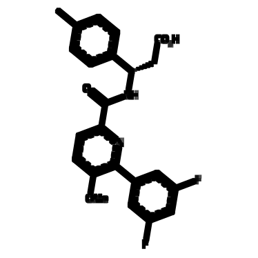 COc1ccc(C(=O)N[C@@H](CC(=O)O)c2ccc(C)cc2)nc1-c1cc(F)cc(F)c1